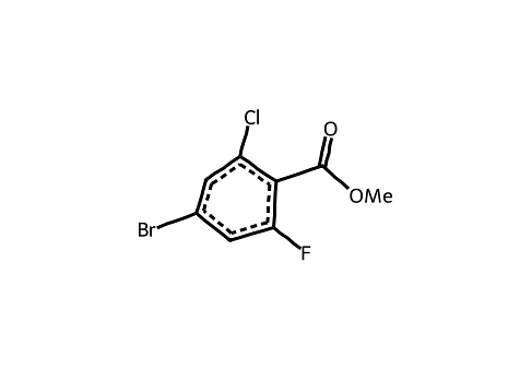 COC(=O)c1c(F)cc(Br)cc1Cl